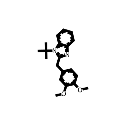 COc1ccc(Cc2nc3ccccc3n2C(C)(C)C)cc1OC